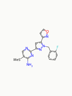 CSc1cnc(-c2cc(-c3ccon3)n(Cc3ccccc3F)n2)nc1N